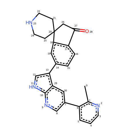 Cc1ncccc1-c1cnc2[nH]cc(-c3ccc4c(c3)C3(CCNCC3)CC4=O)c2c1